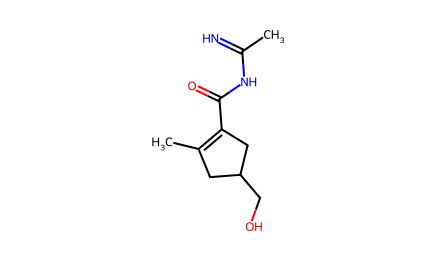 CC(=N)NC(=O)C1=C(C)CC(CO)C1